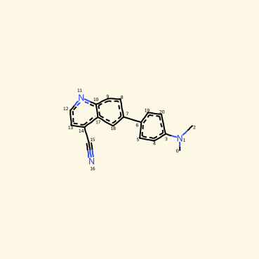 CN(C)c1ccc(-c2ccc3nccc(C#N)c3c2)cc1